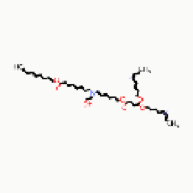 C#CCCCCCCCOC(=O)CCCCCCCN(CCO)CCCCCCOC(=O)CCC(OCCCC/C=C\CC)OCCCC/C=C\CC